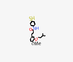 COc1ccc(/C=C/C(=O)Nc2ccc(S)cc2)cc1OCC=C(C)C